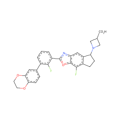 O=C(O)C1CN(C2CCc3c2cc2nc(-c4cccc(-c5ccc6c(c5)OCCO6)c4F)oc2c3F)C1